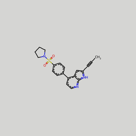 CC#Cc1cc2c(-c3ccc(S(=O)(=O)N4CCCC4)cc3)ccnc2[nH]1